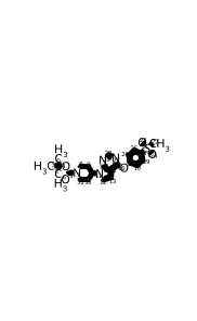 CC(C)(C)OC(=O)N1CCC(n2ccc3c(Oc4ccc(S(C)(=O)=O)cc4)ncnc32)CC1